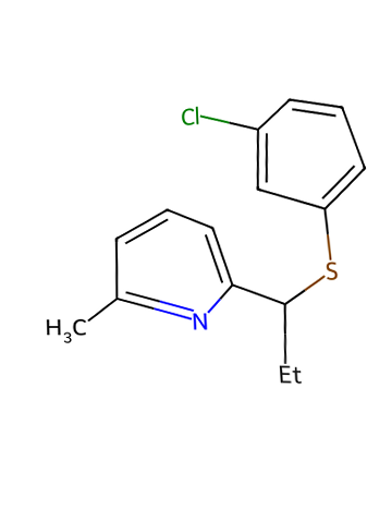 CCC(Sc1cccc(Cl)c1)c1cccc(C)n1